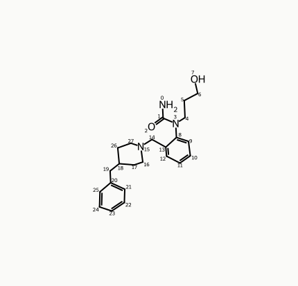 NC(=O)N(CCCO)c1ccccc1CN1CCC(Cc2ccccc2)CC1